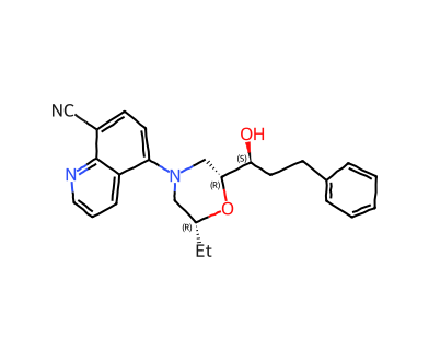 CC[C@@H]1CN(c2ccc(C#N)c3ncccc23)C[C@H]([C@@H](O)CCc2ccccc2)O1